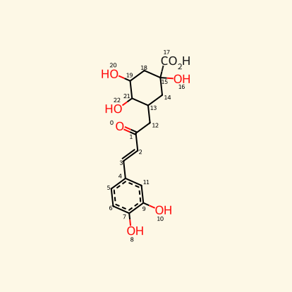 O=C(C=Cc1ccc(O)c(O)c1)CC1CC(O)(C(=O)O)CC(O)C1O